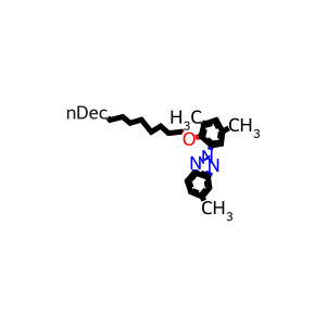 CCCCCCCCCCCCCCCCCCOc1c(C)cc(C)cc1-n1nc2ccc(C)cc2n1